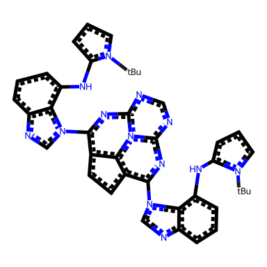 CC(C)(C)n1cccc1Nc1cccc2ncn(-c3nc4ncnc5nc(-n6cnc7cccc(Nc8cccn8C(C)(C)C)c76)c6ccc3c6n45)c12